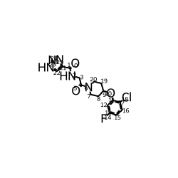 O=C(NCC(=O)N1CCC(Oc2cc(F)ccc2Cl)CC1)c1c[nH]nn1